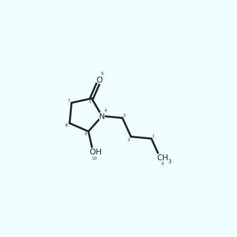 CCCCN1C(=O)CCC1O